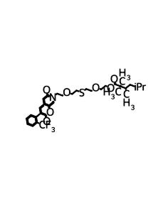 CC(C)CC(C)C(C)(C)C(=O)OCCOCCSCCOCCn1cc2oc(=O)c(-c3ccccc3C(F)(F)F)cc2cc1=O